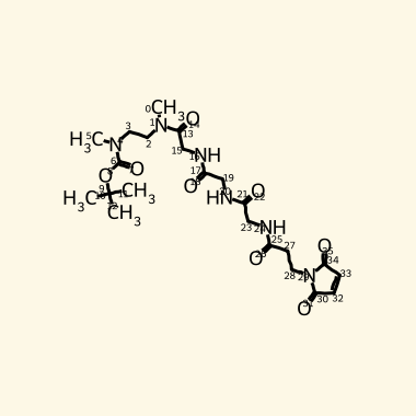 CN(CCN(C)C(=O)OC(C)(C)C)C(=O)CNC(=O)CNC(=O)CNC(=O)CCN1C(=O)C=CC1=O